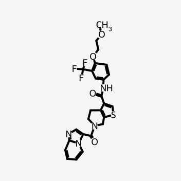 COCCOc1ccc(NC(=O)c2csc3c2CCN(C(=O)c2cnc4ccccn24)C3)cc1C(F)(F)F